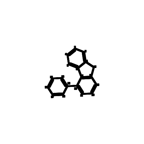 [CH]1c2ccccc2-c2c1cccc2-c1ccccc1